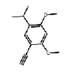 C#Cc1cc(C(C)C)c(OC)cc1OC